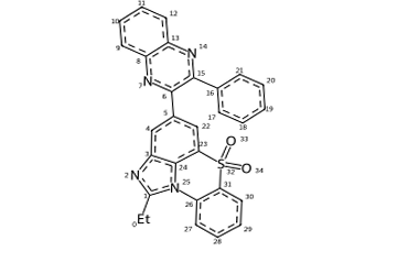 CCc1nc2cc(-c3nc4ccccc4nc3-c3ccccc3)cc3c2n1-c1ccccc1S3(=O)=O